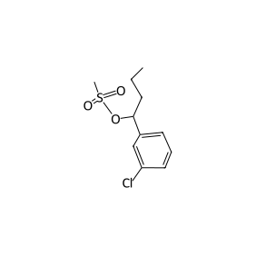 CCCC(OS(C)(=O)=O)c1cccc(Cl)c1